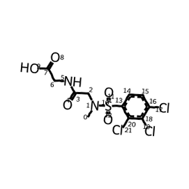 CN(CC(=O)NCC(=O)O)S(=O)(=O)c1ccc(Cl)c(Cl)c1Cl